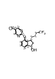 OC1CC(CCCC(F)(F)F)c2c(Oc3ncc(Cl)cn3)cccc21